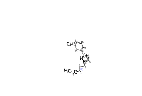 O=C(O)/C=C/Cn1cnc(-c2cccc(Cl)c2)n1